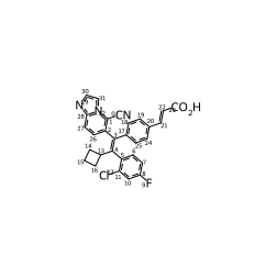 N#Cc1c(C(=C(c2ccc(F)cc2Cl)C2CCC2)c2ccc(C=CC(=O)O)cc2)ccc2nccn12